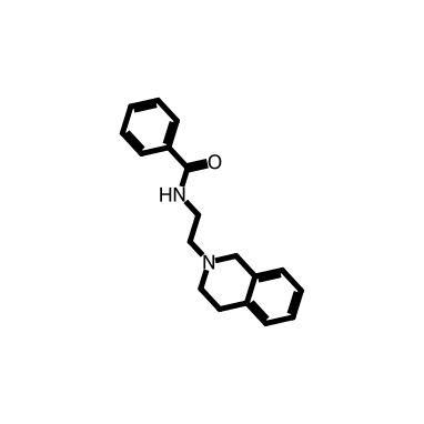 O=C(NCCN1CCc2ccccc2C1)c1ccccc1